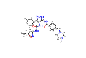 Cc1cccc(-c2n[nH]c(NC(=O)c3ccc(CN4CCN(C)CC4)cc3)c2NC(=O)Nc2cc(C(C)(C)C)on2)c1